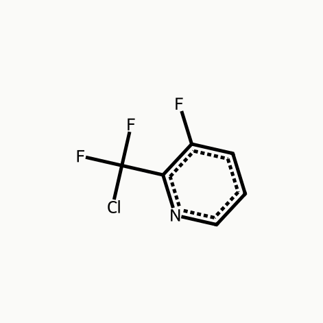 Fc1cccnc1C(F)(F)Cl